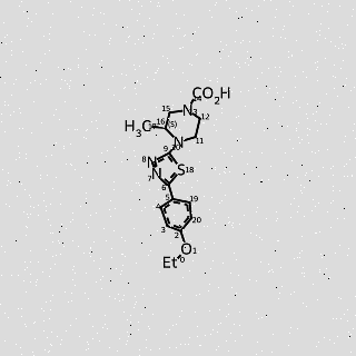 CCOc1ccc(-c2nnc(N3CCN(C(=O)O)C[C@@H]3C)s2)cc1